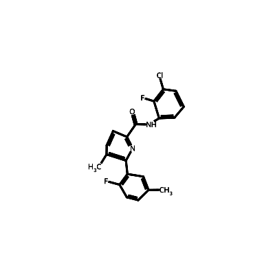 Cc1ccc(F)c(-c2nc(C(=O)Nc3cccc(Cl)c3F)ccc2C)c1